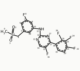 CS(=O)(=O)Cc1cc(F)cc(Nc2ncc(F)c(-c3ccc(F)c(F)c3F)n2)c1